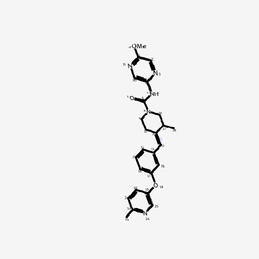 COc1cnc(NC(=O)N2CC/C(=C\c3cccc(Oc4ccc(C)nc4)c3)C(C)C2)cn1